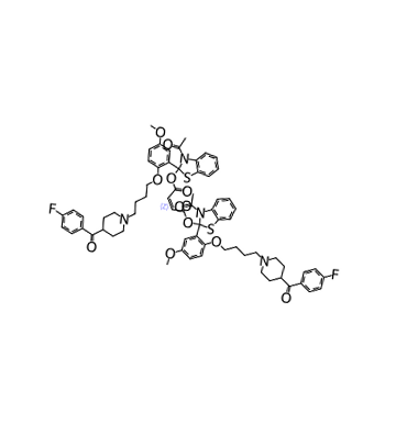 COc1ccc(OCCCCN2CCC(C(=O)c3ccc(F)cc3)CC2)c(C2(OC(=O)/C=C\C(=O)OC3(c4cc(OC)ccc4OCCCCN4CCC(C(=O)c5ccc(F)cc5)CC4)Sc4ccccc4N3C(C)=O)Sc3ccccc3N2C(C)=O)c1